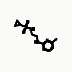 Cc1ccnc(NCCNS(=O)(=O)C2CC2)n1